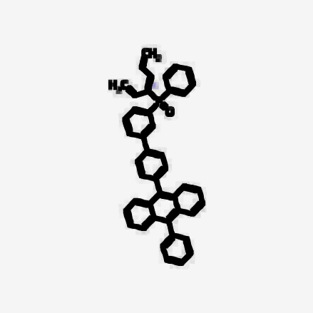 C=C/C=C(\C=C)P(=O)(c1ccccc1)c1cccc(-c2ccc(-c3c4ccccc4c(-c4ccccc4)c4ccccc34)cc2)c1